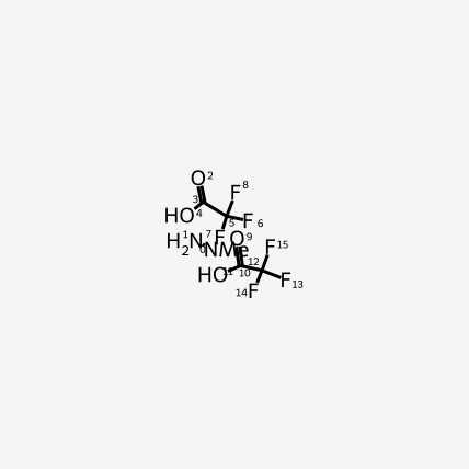 CNN.O=C(O)C(F)(F)F.O=C(O)C(F)(F)F